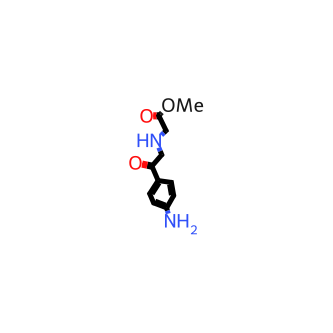 COC(=O)CNCC(=O)c1ccc(N)cc1